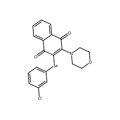 O=C1C([Se]c2cccc(Cl)c2)=C(N2CCOCC2)C(=O)c2ccccc21